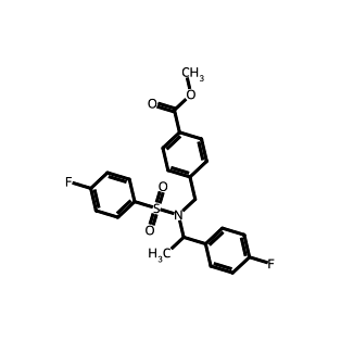 COC(=O)c1ccc(CN(C(C)c2ccc(F)cc2)S(=O)(=O)c2ccc(F)cc2)cc1